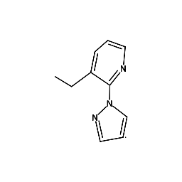 CCc1cccnc1-n1c[c]cn1